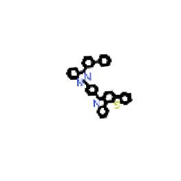 c1ccc(-c2cccc(-c3nc(-c4ccc(-c5nc6ccccc6c6c5ccc5c7ccccc7sc56)cc4)nc4ccccc34)c2)cc1